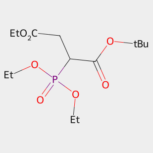 CCOC(=O)CC(C(=O)OC(C)(C)C)P(=O)(OCC)OCC